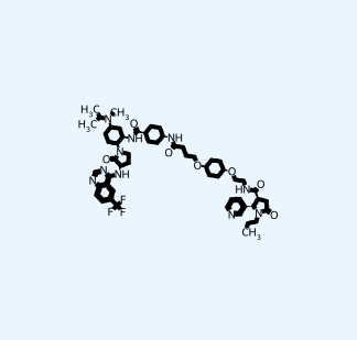 CCCN1C(=O)C[C@H](C(=O)NCCO[C@H]2CC[C@H](OCCCC(=O)N[C@H]3CC[C@H](C(=O)N[C@@H]4C[C@H](N(C)C(C)C)CC[C@@H]4N4CC[C@H](Nc5ncnc6ccc(C(F)(F)F)cc56)C4=O)CC3)CC2)[C@H]1c1cccnc1